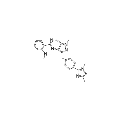 Cc1cn(C)c(-c2ccc(Cc3nn(C)c4cnc(-c5ccccc5N(C)C)nc34)cc2)n1